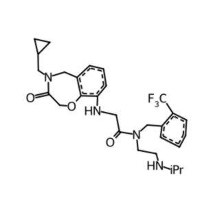 CC(C)NCCN(Cc1ccccc1C(F)(F)F)C(=O)CNc1cccc2c1OCC(=O)N(CC1CC1)C2